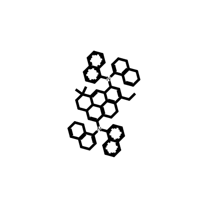 CCC1=CC(N(C2=CCCC3=C2C=CCC3)c2cccc3ccccc23)C2C=C3C4C5=C(CCC1=C52)C(N(C1=CCCC2=C1CCC=C2)c1cccc2ccccc12)=CC4CCC3(C)C